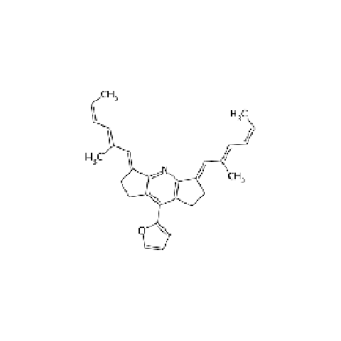 C\C=C/C=C(C)/C=C1\CCc2c1nc1c(c2-c2ccco2)CC\C1=C/C(C)=C/C=C\C